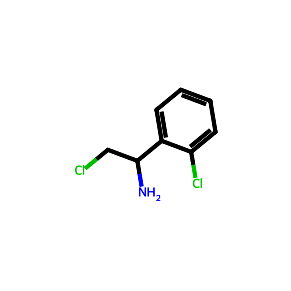 NC(CCl)c1ccccc1Cl